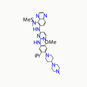 COc1cc(N2CCC(N3CCN(C)CC3)CC2)c(C(C)C)cc1Nc1nccc(Nc2ccc3nccnc3c2N(C)SC)n1